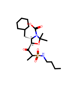 CCCCNS(=O)(=O)C(C)C(=O)[C@@H]1OC(C)(C)N(C(=O)O)[C@H]1CC1CCCCC1